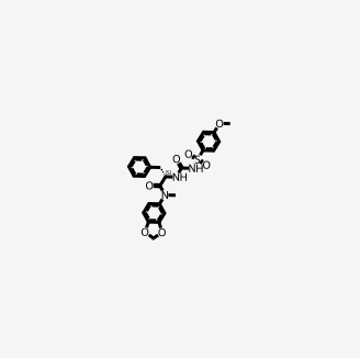 COc1ccc(S(=O)(=O)NC(=O)N[C@@H](Cc2ccccc2)C(=O)N(C)c2ccc3c(c2)OCO3)cc1